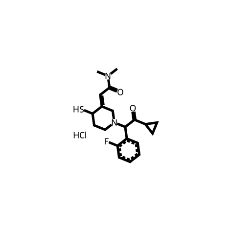 CN(C)C(=O)/C=C1\CN(C(C(=O)C2CC2)c2ccccc2F)CCC1S.Cl